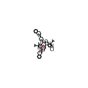 O=C(C(c1cc(Cl)nc(C2CC2)n1)N1CCC(N2CCc3ccccc3C2)CC1)C(c1cc(Cl)nc(C2CC2)n1)N1CCC(N2CCc3ccccc3C2)CC1